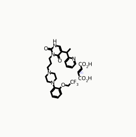 CC(c1ccccn1)c1c[nH]c(=O)n(CCCN2CCN(c3ccccc3OCC(F)(F)F)CC2)c1=O.O=C(O)/C=C/C(=O)O